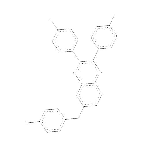 Fc1ccc(Cc2ccc3nc(-c4ccc(F)cc4)c(-c4ccc(F)cc4)nc3c2)cc1